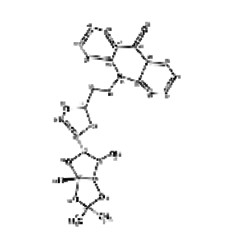 CC1(C)OC2C(O)[C@@H](C3=NOC(CCn4c5ccccc5c(=O)c5ccccc54)C3)O[C@H]2O1